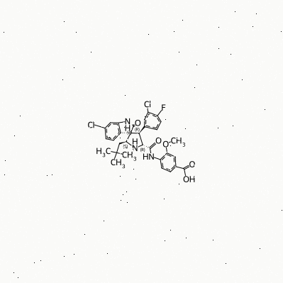 COc1cc(C(=O)O)ccc1NC(=O)[C@@H]1N[C@@H](CC(C)(C)C)[C@@]2(C(=O)Nc3cc(Cl)ccc32)[C@H]1c1ccc(F)c(Cl)c1